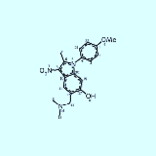 COc1ccc(-n2c(C)c([N+](=O)[O-])c3cc(CN(C)C)c(O)cc32)cc1